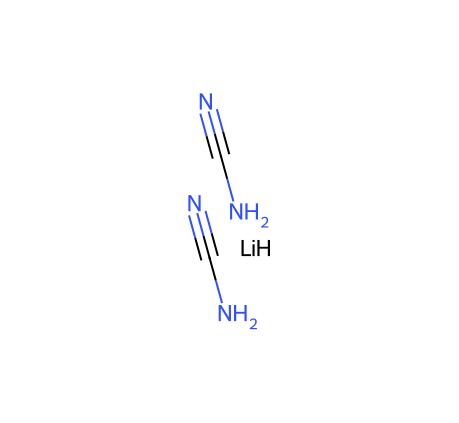 N#CN.N#CN.[LiH]